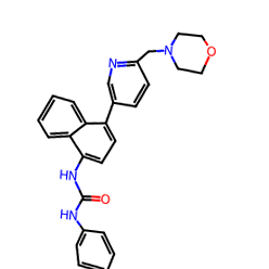 O=C(Nc1ccccc1)Nc1ccc(-c2ccc(CN3CCOCC3)nc2)c2ccccc12